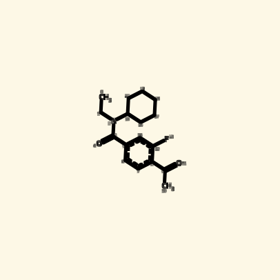 CCN(C(=O)c1ccc(C(C)=O)c(F)c1)C1CCCCC1